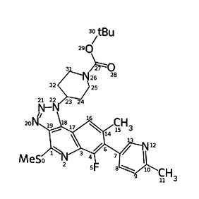 CSc1nc2c(F)c(-c3ccc(C)nc3)c(C)cc2c2c1nnn2C1CCN(C(=O)OC(C)(C)C)CC1